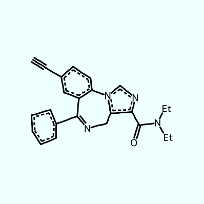 C#Cc1ccc2c(c1)C(c1ccccc1)=NCc1c(C(=O)N(CC)CC)ncn1-2